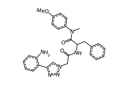 COc1ccc(N(C)C(=O)C(Cc2ccccc2)NC(=O)Cn2cc(-c3ccccc3N)nn2)cc1